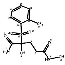 NC(=O)C(O)(CCC(=O)NO)S(=O)(=O)c1ccccc1C(F)(F)F